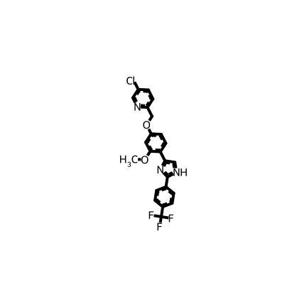 COc1cc(OCc2ccc(Cl)cn2)ccc1-c1c[nH]c(-c2ccc(C(F)(F)F)cc2)n1